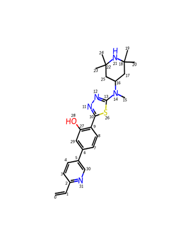 C=Cc1ccc(-c2ccc(-c3nnc(N(C)C4CC(C)(C)NC(C)(C)C4)s3)c(O)c2)cn1